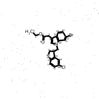 CCOC(=O)Cc1cn(CC2CSc3ccc(Cl)cc32)c2cc(Br)ccc12